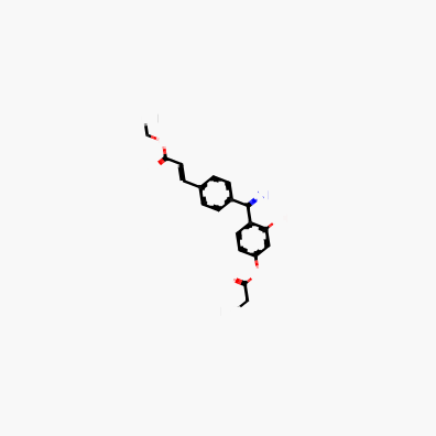 CCOC(=O)C=Cc1ccc(C(=N)c2ccc(OC(=O)CC)cc2O)cc1